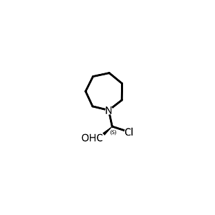 O=C[C@H](Cl)N1CCCCCC1